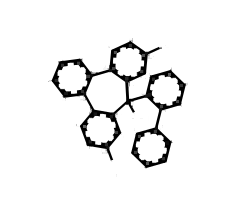 OC1(c2ccccc2-c2ccccc2)c2cc(Br)ccc2-c2ccccc2-c2ccc(Br)cc21